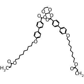 C=CC(=O)OCCCCCCCCCOc1ccc(-c2ccc(C(=O)OC3OCCOC3OC(=O)c3ccc(-c4ccc(OCCCCCCCCCOC(=O)C=C)cc4)cc3)cc2)cc1